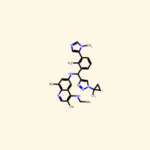 Cc1c(-c2cncn2C)cccc1C(Nc1cc(C#N)c2ncc(C#N)c(NCC(C)(C)C)c2c1)c1cn(C2(C(F)(F)F)CC2)nn1